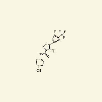 O=C(N[C@H]1CC[C@@H](O)CC1)c1noc(-c2ccc(C(F)(F)F)c(F)c2)c1Cl